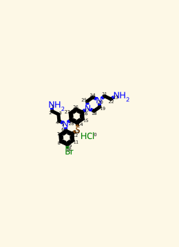 Cl.NCCCN1c2ccc(Br)cc2Sc2cc(N3CCN(CCN)CC3)ccc21